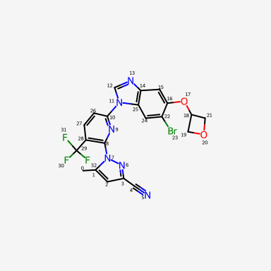 Cc1cc(C#N)nn1-c1nc(-n2cnc3cc(OC4COC4)c(Br)cc32)ccc1C(F)(F)F